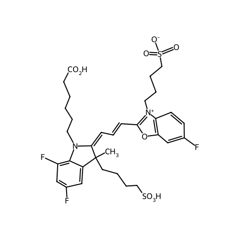 CC1(CCCCS(=O)(=O)O)/C(=C\C=C\c2oc3cc(F)ccc3[n+]2CCCCS(=O)(=O)[O-])N(CCCCCC(=O)O)c2c(F)cc(F)cc21